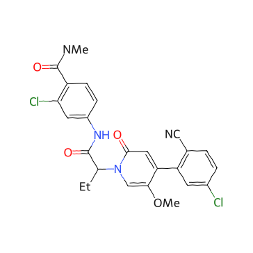 CCC(C(=O)Nc1ccc(C(=O)NC)c(Cl)c1)n1cc(OC)c(-c2cc(Cl)ccc2C#N)cc1=O